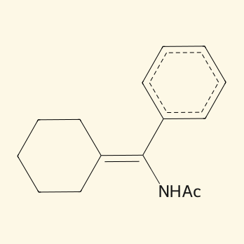 CC(=O)NC(=C1CCCCC1)c1ccccc1